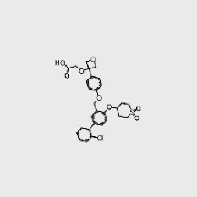 O=C(O)COC1(c2ccc(OCc3cc(-c4ccccc4Cl)ccc3OC3CCS(=O)(=O)CC3)cc2)COC1